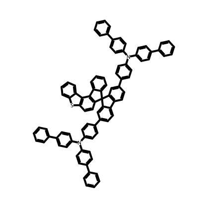 c1ccc(-c2ccc(N(c3ccc(-c4ccccc4)cc3)c3ccc(-c4ccc5c(c4)C4(c6cc(-c7ccc(N(c8ccc(-c9ccccc9)cc8)c8ccc(-c9ccccc9)cc8)cc7)ccc6-5)c5ccccc5-c5c4ccc4sc6ccccc6c54)cc3)cc2)cc1